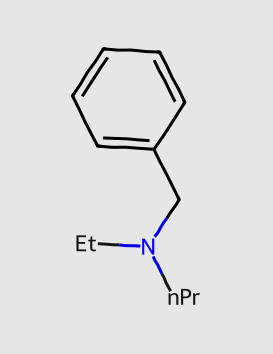 [CH2]CCN(CC)Cc1ccccc1